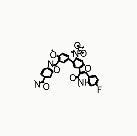 CNC(=O)c1c(-c2ccc(F)cc2)oc2cc(N(C)S(C)(=O)=O)c(-c3ccc(OC)c(-c4nc5ccc(C(=O)N(C)C)cc5o4)c3)cc12